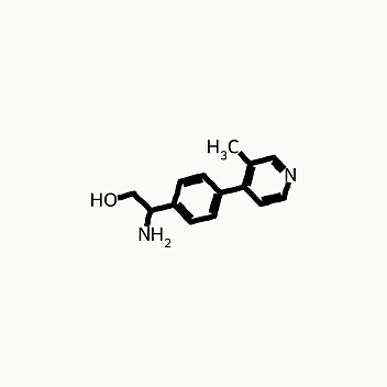 Cc1cnccc1-c1ccc(C(N)CO)cc1